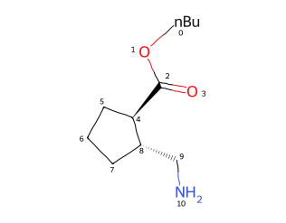 CCCCOC(=O)[C@@H]1CCC[C@H]1CN